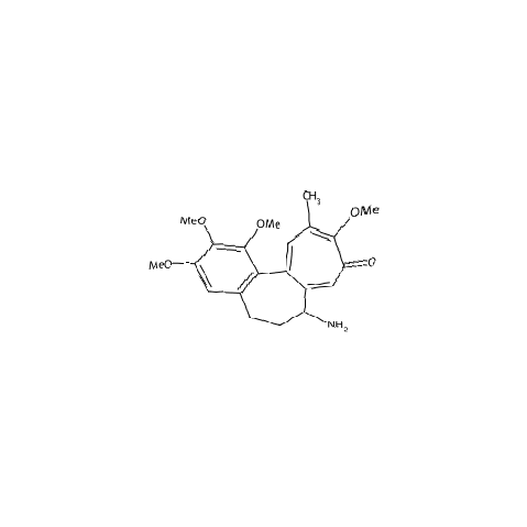 COc1cc2c(c(OC)c1OC)-c1cc(C)c(OC)c(=O)cc1C(N)CC2